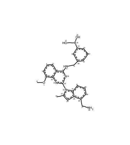 COc1cccc2c(NCc3cccc(B(O)O)c3)nc(-n3c(C)cc4c(CN)cccc43)nc12